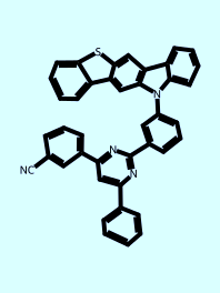 N#Cc1cccc(-c2cc(-c3ccccc3)nc(-c3cccc(-n4c5ccccc5c5cc6sc7ccccc7c6cc54)c3)n2)c1